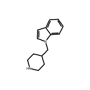 c1ccc2c(c1)ccn2CC1CCNCC1